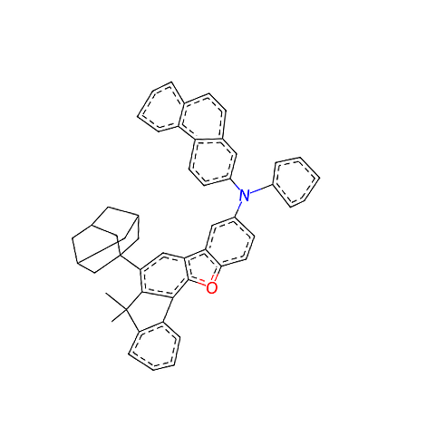 CC1(C)c2ccccc2-c2c1c(C13CC4CC(CC(C4)C1)C3)cc1c2oc2ccc(N(c3ccccc3)c3ccc4c(ccc5ccccc54)c3)cc21